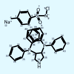 Cc1ccc(S(=O)(=O)[N-]Cl)cc1.[Na+].c1ccc(P(c2ccccc2)C2CNCC2P(c2ccccc2)c2ccccc2)cc1